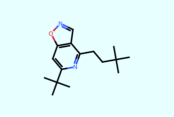 CC(C)(C)CCc1nc(C(C)(C)C)cc2oncc12